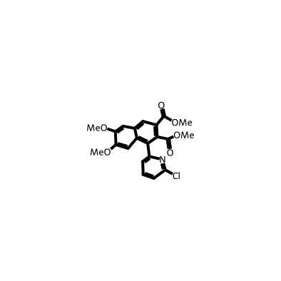 COC(=O)c1cc2cc(OC)c(OC)cc2c(-c2cccc(Cl)n2)c1C(=O)OC